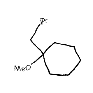 COC1(CC(C)C)CCCCC1